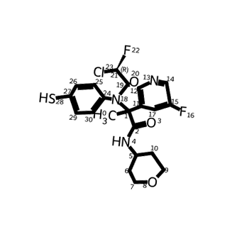 CC(C(=O)NC1CCOCC1)(c1cncc(F)c1)N(C(=O)[C@H](F)Cl)c1ccc(S)cc1